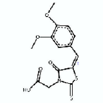 COc1ccc(/C=C2/SC(=S)N(CC(=O)O)C2=O)cc1OC